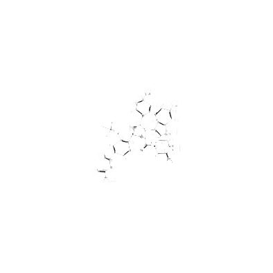 CC(C)(C)Oc1cc(C(=O)CC(=O)O)ccc1C1=N[C@@H](c2ccc(Cl)cc2)[C@@H](c2c[nH]c3cc(Cl)ccc23)N1C(=O)N1CCNC(=O)C1